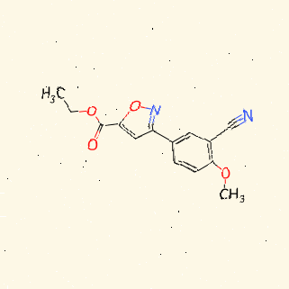 CCOC(=O)c1cc(-c2ccc(OC)c(C#N)c2)no1